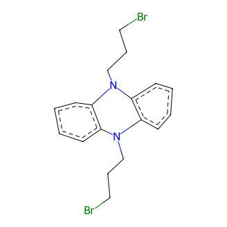 BrCCCN1c2ccccc2N(CCCBr)c2ccccc21